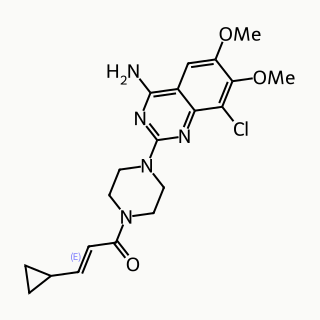 COc1cc2c(N)nc(N3CCN(C(=O)/C=C/C4CC4)CC3)nc2c(Cl)c1OC